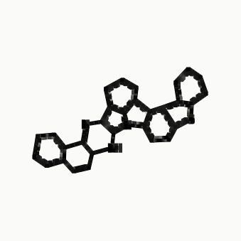 C1=CC2Nc3c(c4cccc5c6c7c(ccc6n3c45)sc3ccccc37)N=C2c2ccccc21